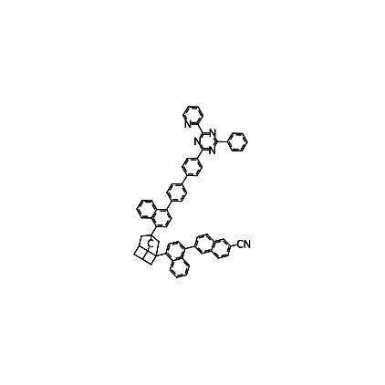 N#Cc1ccc2cc(-c3ccc(C45CC6CC7CC(c8ccc(-c9ccc(-c%10ccc(-c%11nc(-c%12ccccc%12)nc(-c%12ccccn%12)n%11)cc%10)cc9)c9ccccc89)(C4)CC765)c4ccccc34)ccc2c1